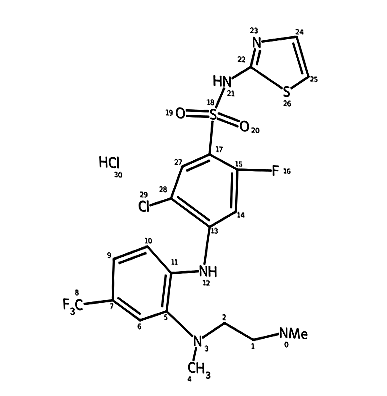 CNCCN(C)c1cc(C(F)(F)F)ccc1Nc1cc(F)c(S(=O)(=O)Nc2nccs2)cc1Cl.Cl